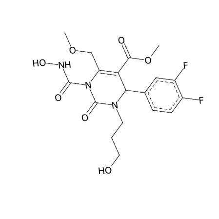 COCC1=C(C(=O)OC)C(c2ccc(F)c(F)c2)N(CCCO)C(=O)N1C(=O)NO